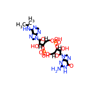 CC(C)Nc1ncnc2c1ncn2[C@@H]1O[C@@H]2COP(=O)(O)O[C@H]3[C@@H](O)[C@H](n4cnc5c(=O)[nH]c(N)nc54)O[C@@H]3COP(=O)(O)O[C@H]2[C@H]1O